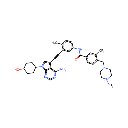 Cc1ccc(NC(=O)c2ccc(CN3CCN(C)CC3)c(C(F)(F)F)c2)cc1C#Cc1cn(C2CCC(O)CC2)c2ncnc(N)c12